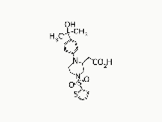 CC(C)(O)c1ccc(N2CCN(S(=O)(=O)c3cccs3)C[C@@H]2CC(=O)O)cc1